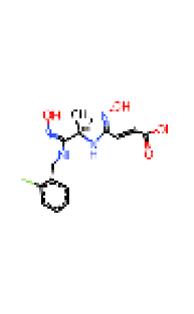 C[C@@H](NC(C=CC(=O)O)=NO)C(=NO)NCc1ccccc1F